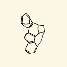 C1=C2CC(=C1)c1c3c4c5c(c12)Cc1cccc(c1-5)C4C3